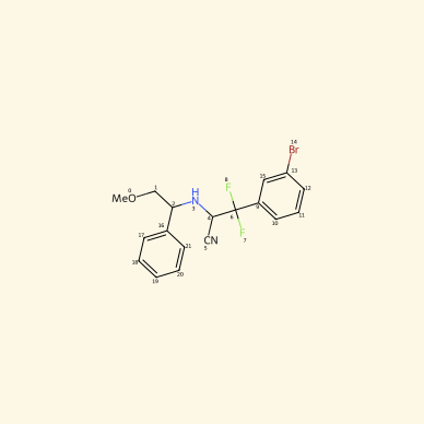 COCC(NC(C#N)C(F)(F)c1cccc(Br)c1)c1ccccc1